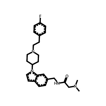 CN(C)CC(=O)NCc1ccc2ccn(C3CCN(CCc4ccc(F)cc4)CC3)c2c1